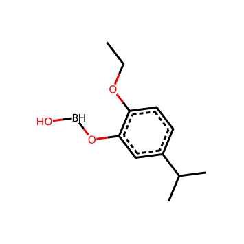 CCOc1ccc(C(C)C)cc1OBO